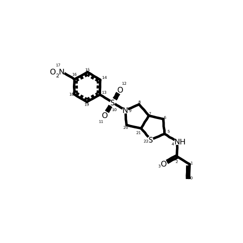 C=CC(=O)NC1CC2CN(S(=O)(=O)c3ccc([N+](=O)[O-])cc3)CC2S1